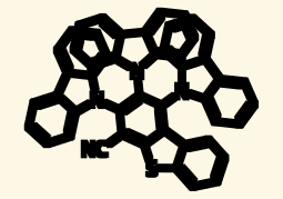 N#Cc1c(-n2c3ccccc3c3ccccc32)c(-n2c3ccccc3c3ccccc32)c(-n2c3ccccc3c3ccccc32)c2c1sc1ccccc12